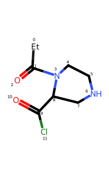 CCC(=O)N1CCNCC1C(=O)Cl